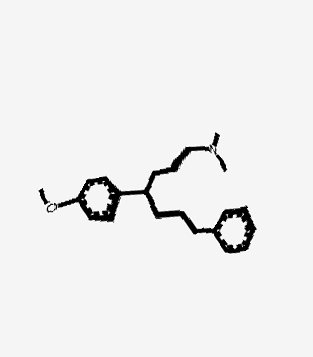 COc1ccc(C(CCCc2ccccc2)CCCN(C)C)cc1